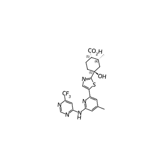 Cc1cc(Nc2cc(C(F)(F)F)ncn2)nc(-c2cnc([C@]3(O)CC[C@H](C(=O)O)[C@H](C)C3)s2)c1